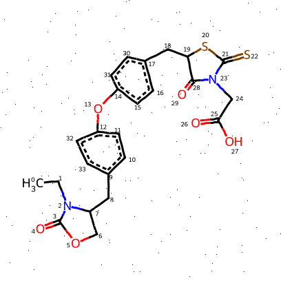 CCN1C(=O)OCC1Cc1ccc(Oc2ccc(CC3SC(=S)N(CC(=O)O)C3=O)cc2)cc1